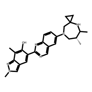 Cc1c(O)c(-c2ncc3cc(N4C[C@@H](C)C(C)NC5(CC5)C4)ccc3n2)cc2cn(C)nc12